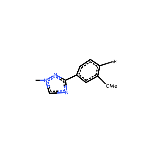 COc1cc(-c2ncn(C)n2)ccc1C(C)C